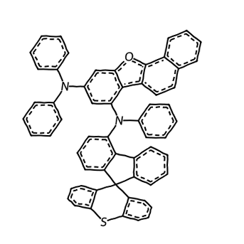 c1ccc(N(c2ccccc2)c2cc(N(c3ccccc3)c3cccc4c3-c3ccccc3C43c4ccccc4Sc4ccccc43)c3c(c2)oc2c4ccccc4ccc23)cc1